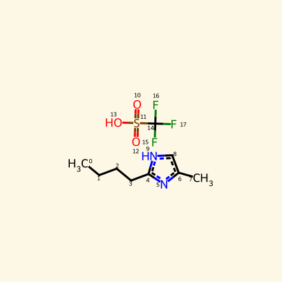 CCCCc1nc(C)c[nH]1.O=S(=O)(O)C(F)(F)F